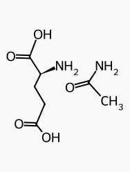 CC(N)=O.N[C@@H](CCC(=O)O)C(=O)O